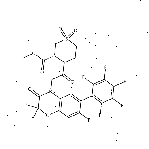 COC(=O)[C@@H]1CS(=O)(=O)CCN1C(=O)CN1C(=O)C(F)(F)Oc2cc(F)c(-c3c(F)c(F)c(F)c(F)c3F)cc21